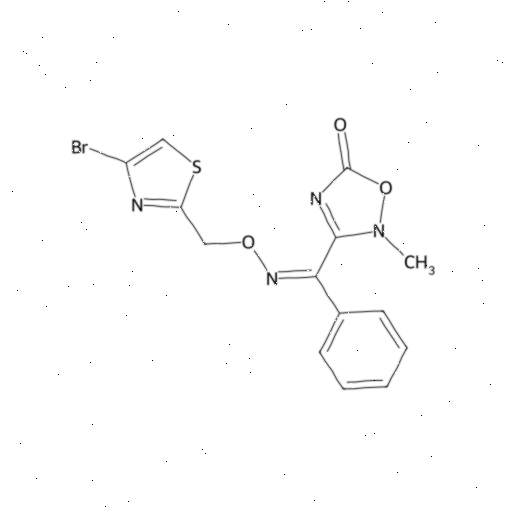 Cn1oc(=O)nc1/C(=N\OCc1nc(Br)cs1)c1ccccc1